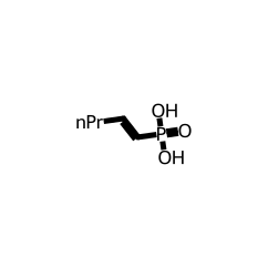 [CH2]CCC=CP(=O)(O)O